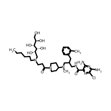 CCCCCCN(CCC(=O)N1CCC(N(C)CC(CNC(=O)c2nc(Cl)c(N)nc2N)Cc2ccccc2C)CC1)C[C@H](O)[C@@H](O)[C@H](O)[C@H](O)CO